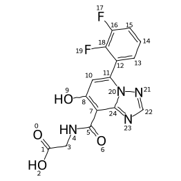 O=C(O)CNC(=O)c1c(O)cc(-c2cccc(F)c2F)n2ncnc12